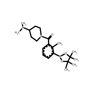 Cc1c(B2OC(C)(C)C(C)(C)O2)cccc1C(=O)N1CCC(N(C)C)CC1